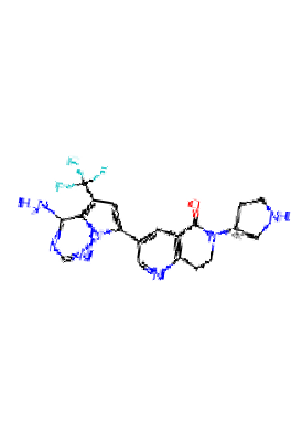 Nc1ncnn2c(-c3cnc4c(c3)C(=O)N([C@H]3CCNC3)CC4)cc(C(F)(F)F)c12